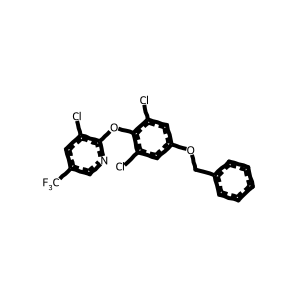 FC(F)(F)c1cnc(Oc2c(Cl)cc(OCc3ccccc3)cc2Cl)c(Cl)c1